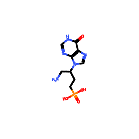 NCC(CCP(=O)(O)O)n1cnc2c(=O)[nH]cnc21